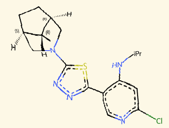 CC(C)Nc1cc(Cl)ncc1-c1nnc(N2C[C@H]3CC[C@@H](C2)[C@@H]3C)s1